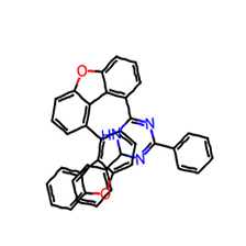 c1ccc(C2=NC(c3ccccc3)NC(c3cccc4oc5cccc(-c6cccc7oc8ccccc8c67)c5c34)=N2)cc1